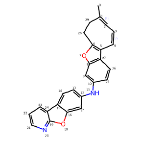 C/C1=C\C=C/c2c(oc3cc(Nc4ccc5c(c4)oc4ncccc45)ccc23)CC1